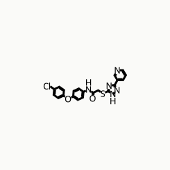 O=C(CSc1nc(-c2cccnc2)n[nH]1)Nc1ccc(Oc2ccc(Cl)cc2)cc1